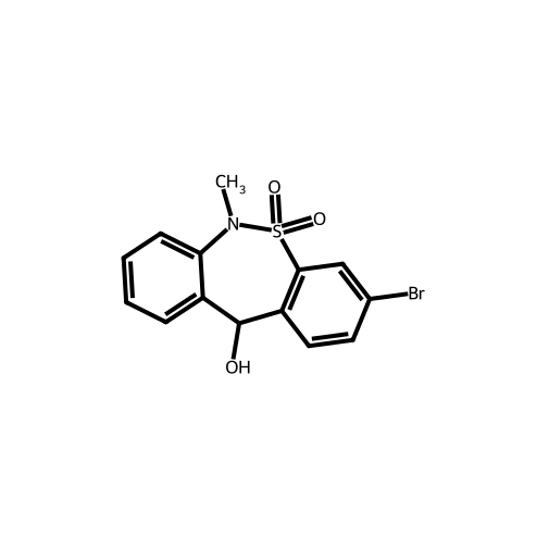 CN1c2ccccc2C(O)c2ccc(Br)cc2S1(=O)=O